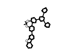 CC1(C)Oc2cc(-c3ccc4c(c3)oc3ccccc34)ccc2-c2cc(-c3cc(-c4ccccc4)cc(-c4ccccc4)c3)ccc2O1